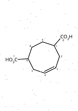 O=C(O)C1CC=CCC(C(=O)O)CC1